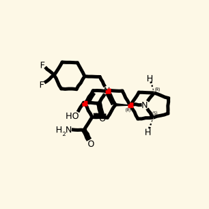 NC(=O)c1cccc([C@H]2C[C@H]3CC[C@@H](C2)N3CCN(CC2CCC(F)(F)CC2)C(=O)CO)c1